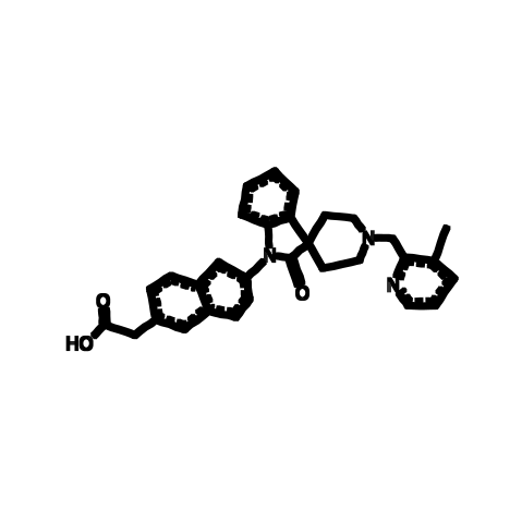 Cc1cccnc1CN1CCC2(CC1)C(=O)N(c1ccc3cc(CC(=O)O)ccc3c1)c1ccccc12